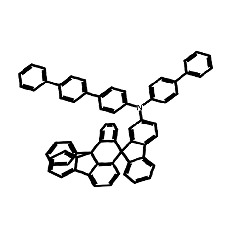 c1ccc(-c2ccc(-c3ccc(N(c4ccc(-c5ccccc5)cc4)c4ccc5c(c4)C4(c6ccccc6-5)c5ccccc5C5(c6ccccc6)c6ccccc6-c6cccc4c65)cc3)cc2)cc1